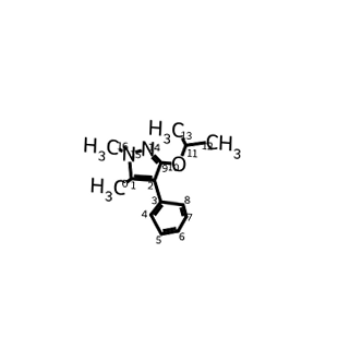 Cc1c(-c2ccccc2)c(OC(C)C)nn1C